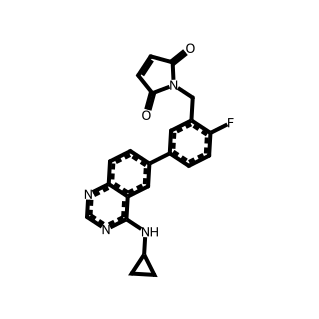 O=C1C=CC(=O)N1Cc1cc(-c2ccc3ncnc(NC4CC4)c3c2)ccc1F